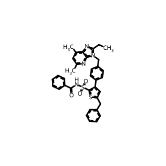 CCc1nc2c(C)cc(C)nc2n1Cc1ccc(-c2cc(Cc3ccccc3)sc2S(=O)(=O)NC(=O)c2ccccc2)cc1